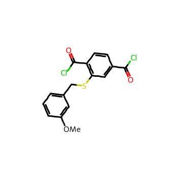 COc1cccc(CSc2cc(C(=O)Cl)ccc2C(=O)Cl)c1